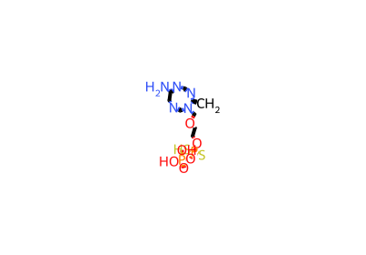 C=C1/N=C\N=C(\N)C/N=C\N1COCCOP(=S)(S)OP(=O)(O)O